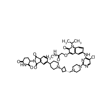 CNC(=O)COc1cc2cc(Nc3nc(N4CCN(C[C@H]5C[C@H](N6CCC(c7ccc8c(c7)C(=O)N(C7CCC(=O)NC7=O)C8=O)CC6)C5)CC4)ncc3Cl)ccc2n(C(C)C)c1=O